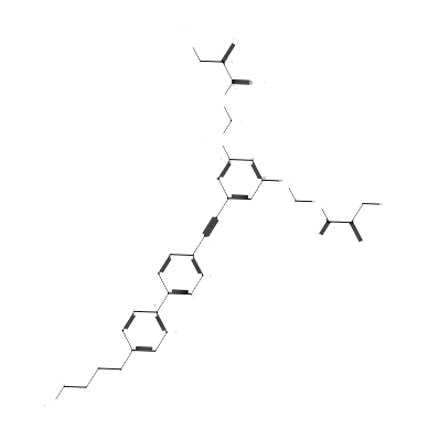 C=C(CO)C(=O)OCOc1cc(C#Cc2ccc(-c3ccc(CCCCF)cc3)cc2)cc(OCOC(=O)C(=C)CO)c1